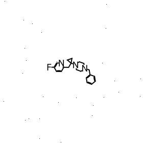 Fc1ccc(CC2(N3CCN(Cc4ccccc4)CC3)CC2)nc1